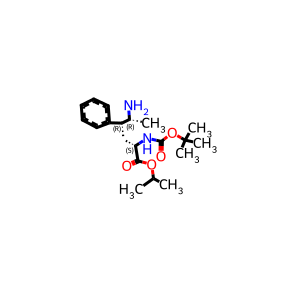 CC(C)OC(=O)[C@H](C[C@H](c1ccccc1)[C@@H](C)N)NC(=O)OC(C)(C)C